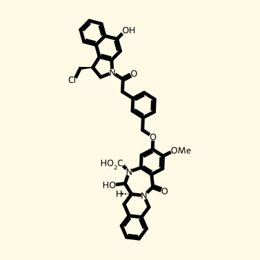 COc1cc2c(cc1OCc1cccc(CC(=O)N3C[C@@H](CCl)c4c3cc(O)c3ccccc43)c1)N(C(=O)O)C(O)[C@@H]1Cc3ccccc3CN1C2=O